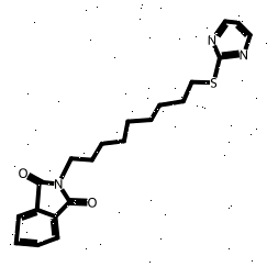 O=C1c2ccccc2C(=O)N1CCCCCCCCCSc1ncccn1